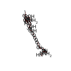 C=C/C=C/C=C(\C)[C@H](C[C@@H]1CC[C@@H](C)[C@](O)(C(=O)C(=O)N2CCCC[C@H]2C(=O)O[C@@H](C[C@@H](O)[C@H](C)/C=C(\C)[C@@H](O)[C@@H](OC)/C(=N/OCC(=O)NCCOCCOCCOCCOCCOCCOCCC(=O)N2CCc3cc(Cn4nc(-c5cnc6[nH]ccc6c5)c5c(N)ncnc54)ccc3C2)[C@H](C)CC(C)C)[C@H](N)C[C@@H]2CC[C@@H](O)[C@H](OC)C2)O1)OC